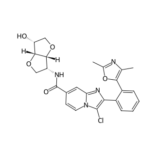 Cc1nc(C)c(-c2ccccc2-c2nc3cc(C(=O)N[C@@H]4CO[C@H]5[C@@H]4OC[C@H]5O)ccn3c2Cl)o1